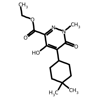 CCOC(=O)c1nn(C)c(=O)c(C2CCC(C)(C)CC2)c1O